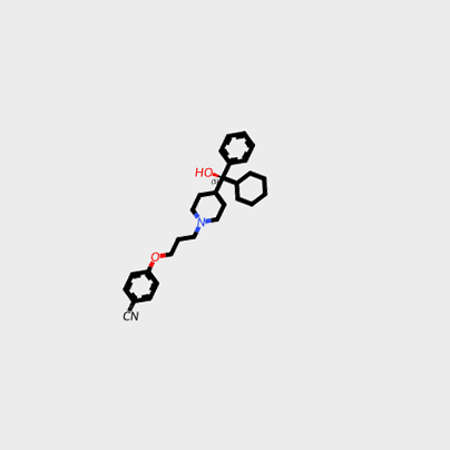 N#Cc1ccc(OCCCN2CCC([C@](O)(c3ccccc3)C3CCCCC3)CC2)cc1